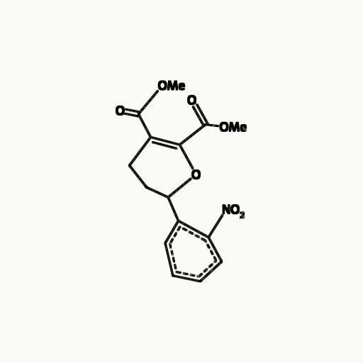 COC(=O)C1=C(C(=O)OC)OC(c2ccccc2[N+](=O)[O-])CC1